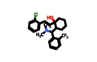 CN(C)C(c1ccccc1C(F)(F)F)C1CCCCC1(O)CCc1ccccc1Cl